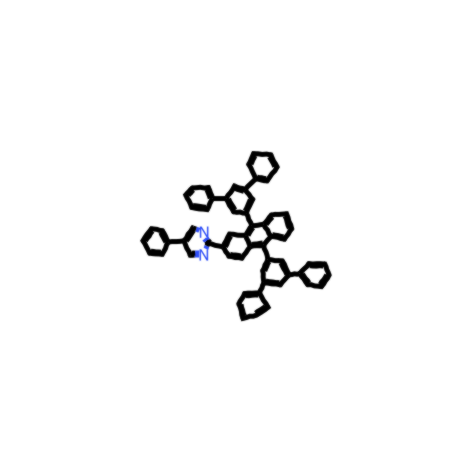 c1ccc(-c2cnc(-c3ccc4c(-c5cc(-c6ccccc6)cc(-c6ccccc6)c5)c5ccccc5c(-c5cc(-c6ccccc6)cc(-c6ccccc6)c5)c4c3)nc2)cc1